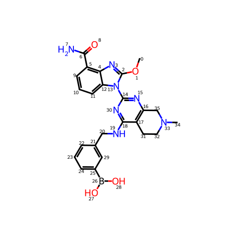 COc1nc2c(C(N)=O)cccc2n1-c1nc2c(c(NCc3cccc(B(O)O)c3)n1)CCN(C)C2